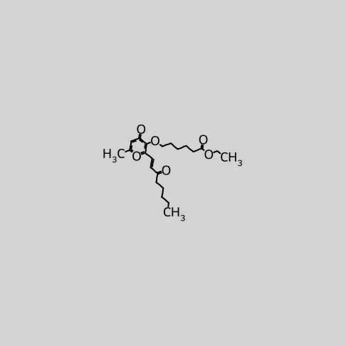 CCCCCC(=O)C=Cc1oc(C)cc(=O)c1OCCCCCC(=O)OCC